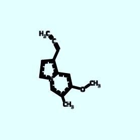 C=C=Cc1ccn2cc(C)c(OC)cc12